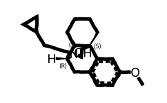 COc1ccc2c(c1)[C@@]13CCCC[C@@]1(O)[C@@H](C2)N(CC1CC1)CC3